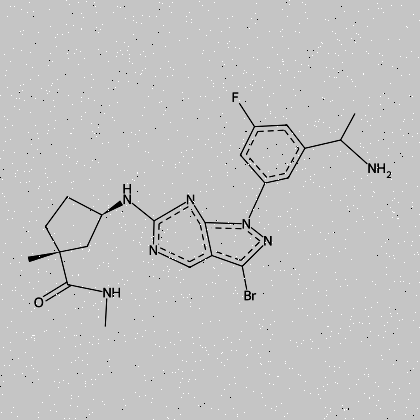 CNC(=O)[C@]1(C)CC[C@@H](Nc2ncc3c(Br)nn(-c4cc(F)cc(C(C)N)c4)c3n2)C1